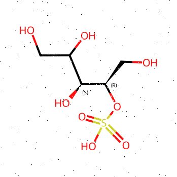 O=S(=O)(O)O[C@H](CO)[C@@H](O)C(O)CO